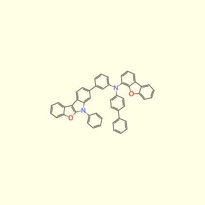 c1ccc(-c2ccc(N(c3cccc(-c4ccc5c6c7ccccc7oc6n(-c6ccccc6)c5c4)c3)c3cccc4c3oc3ccccc34)cc2)cc1